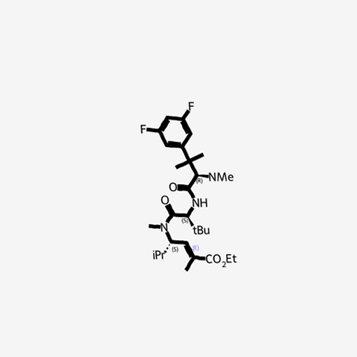 CCOC(=O)/C(C)=C/[C@H](C(C)C)N(C)C(=O)[C@@H](NC(=O)[C@H](NC)C(C)(C)c1cc(F)cc(F)c1)C(C)(C)C